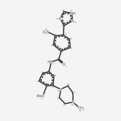 COc1ccc(NC(=O)c2ccc(-c3nc[nH]n3)c([N+](=O)[O-])c2)cc1N1CCN(C)CC1